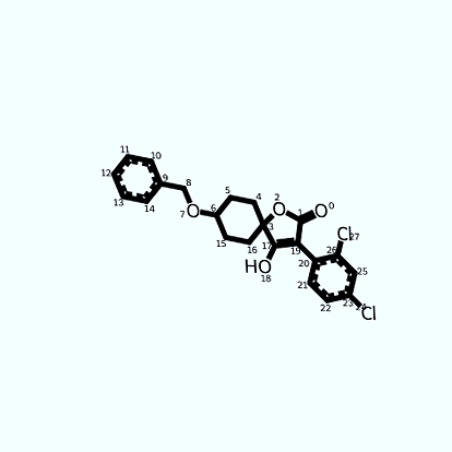 O=C1OC2(CCC(OCc3ccccc3)CC2)C(O)=C1c1ccc(Cl)cc1Cl